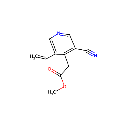 C=Cc1cncc(C#N)c1CC(=O)OC